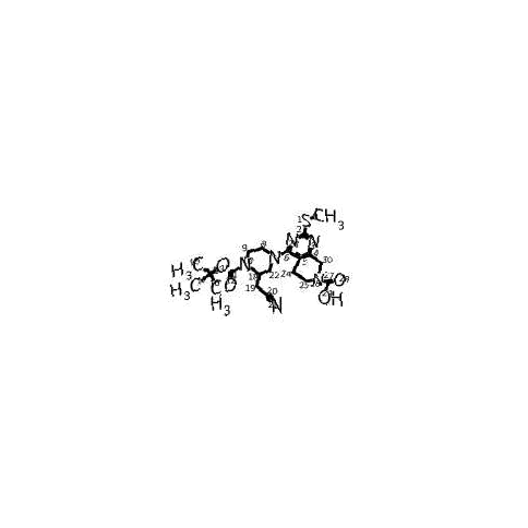 CSc1nc2c(c(N3CCN(C(=O)OC(C)(C)C)C(CC#N)C3)n1)CCN(C(=O)O)C2